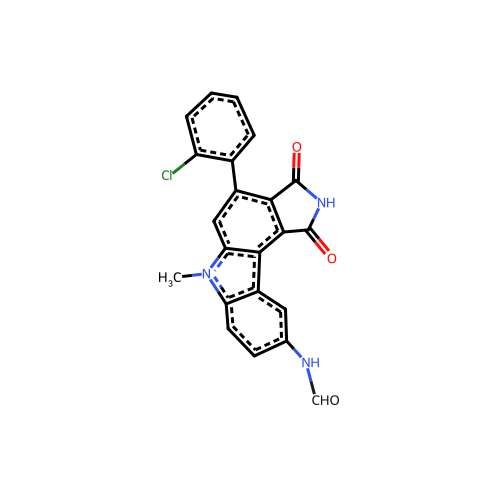 Cn1c2ccc(NC=O)cc2c2c3c(c(-c4ccccc4Cl)cc21)C(=O)NC3=O